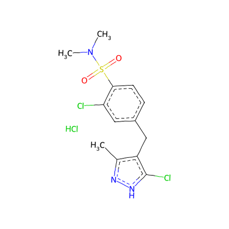 Cc1n[nH]c(Cl)c1Cc1ccc(S(=O)(=O)N(C)C)c(Cl)c1.Cl